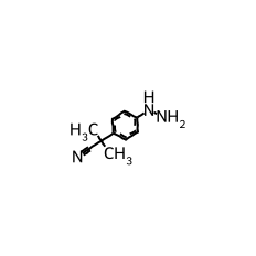 CC(C)(C#N)c1ccc(NN)cc1